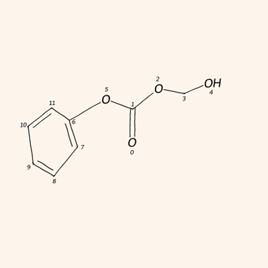 O=C(OCO)Oc1ccccc1